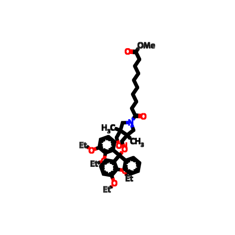 CCOc1cccc(C(OCC2(C)CN(C(=O)CCCCCCCCC(=O)OC)CC2(C)CO)(c2ccccc2)c2cccc(OCC)c2OCC)c1OCC